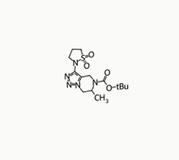 CC1Cn2nnc(N3CCCS3(=O)=O)c2CN1C(=O)OC(C)(C)C